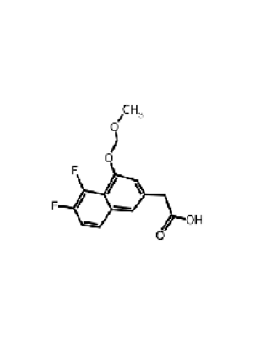 COCOc1cc(CC(=O)O)cc2ccc(F)c(F)c12